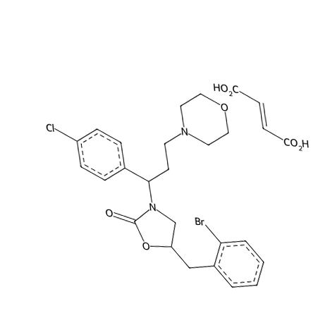 O=C(O)C=CC(=O)O.O=C1OC(Cc2ccccc2Br)CN1C(CCN1CCOCC1)c1ccc(Cl)cc1